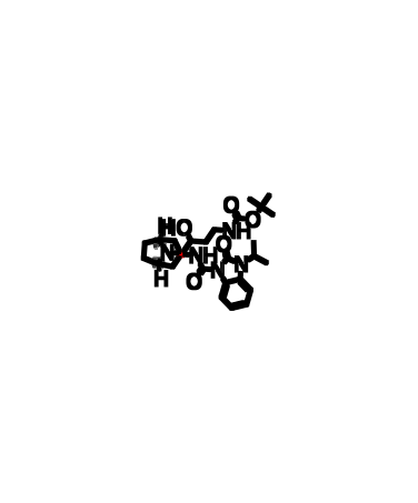 CC(C)n1c(=O)n(C(=O)NC2C[C@H]3CC[C@@H](C2)N3CC(O)CCNC(=O)OC(C)(C)C)c2ccccc21